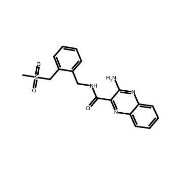 CS(=O)(=O)Cc1ccccc1CNC(=O)c1nc2ccccc2nc1N